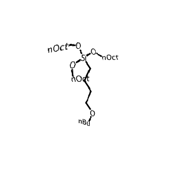 CCCCCCCCO[Si](CCCCOCCCC)(OCCCCCCCC)OCCCCCCCC